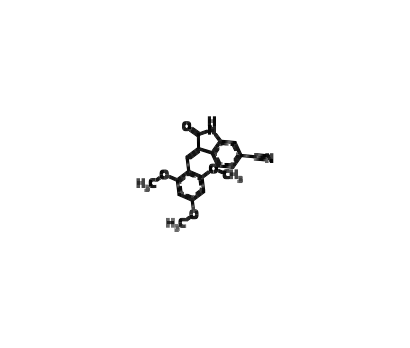 COc1cc(OC)c(C=C2C(=O)Nc3cc(C#N)ccc32)c(OC)c1